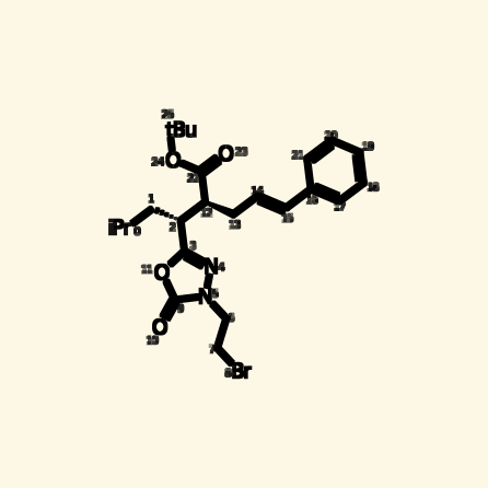 CC(C)C[C@@H](c1nn(CCBr)c(=O)o1)[C@H](CC=Cc1ccccc1)C(=O)OC(C)(C)C